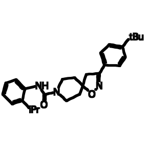 CC(C)c1ccccc1NC(=O)N1CCC2(CC1)CC(c1ccc(C(C)(C)C)cc1)=NO2